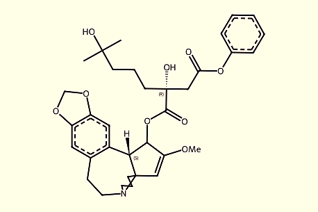 COC1=CC23CCCN2CCc2cc4c(cc2[C@@H]3C1OC(=O)[C@@](O)(CCCC(C)(C)O)CC(=O)Oc1ccccc1)OCO4